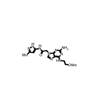 COCCNc1nc(N)nc2c1ncn2CC(=O)Nc1cc(C(C)(C)C)n[nH]1